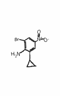 Nc1c(Br)cc([N+](=O)[O-])cc1C1CC1